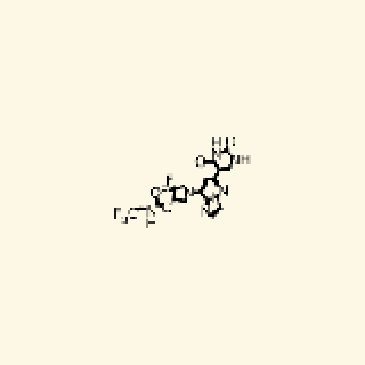 O=C(NCC(F)(F)F)O[C@H]1CN(c2cc(-c3c[nH]c(=O)[nH]c3=O)nn3ccnc23)CC1(F)F